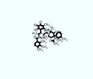 [2H]c1c(Cl)c(Cl)c(C)c(C)c1[C@H](C(C)CN1CCC(NC(C)=O)(c2cccc(C)c2C)C(C)C1(C)C)C(C)N(C)C(=O)c1ccc(C)c(C)c1C